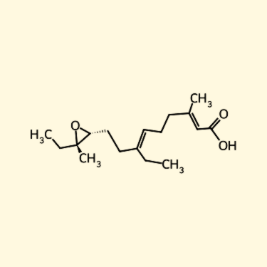 CCC(=CCCC(C)=CC(=O)O)CC[C@H]1O[C@@]1(C)CC